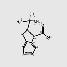 CC(C)(C)C1Cc2ccccc2N1C(=O)O